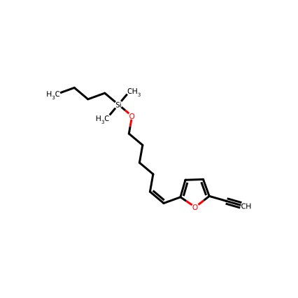 C#Cc1ccc(/C=C\CCCCO[Si](C)(C)CCCC)o1